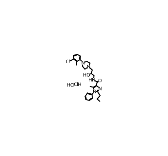 CCCc1nc(C(=O)NCC(O)CN2CCN(c3cccc(Cl)c3C)CC2)c(C)n1-c1ccccc1.Cl.Cl